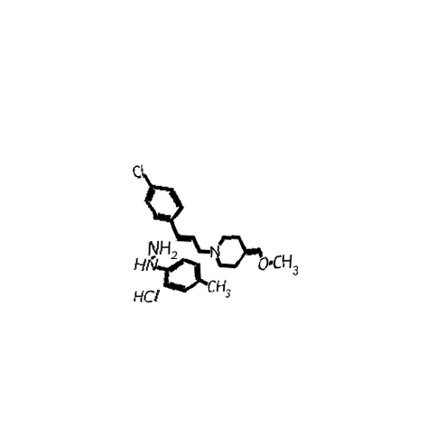 COC=C1CCN(CC=Cc2ccc(Cl)cc2)CC1.Cc1ccc(NN)cc1.Cl